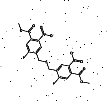 COC(=O)c1cc(F)c(CSCc2cc([N+](=O)[O-])c(C(=O)OC)cc2F)cc1[N+](=O)[O-]